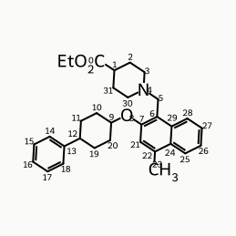 CCOC(=O)C1CCN(Cc2c(OC3CCC(c4ccccc4)CC3)cc(C)c3ccccc23)CC1